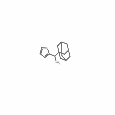 NC(c1cccs1)C12CC3CC(CC(C3)C1)C2